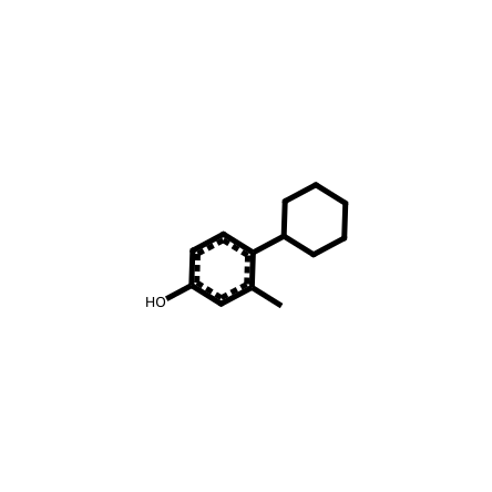 Cc1cc(O)ccc1C1CCCCC1